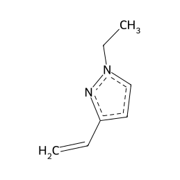 C=Cc1ccn(CC)n1